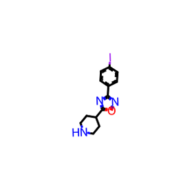 Ic1ccc(-c2noc(C3CCNCC3)n2)cc1